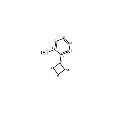 CC(C)(C)c1cccnc1C1CCC1